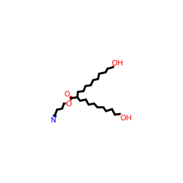 N#CCCCOC(=O)C(CCCCCCCCCCO)CCCCCCCCCCO